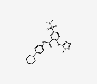 CN(C)S(=O)(=O)c1ccc(Sc2nnnn2C)c(C(=O)Nc2ccc(C3CCCCC3)cc2)c1